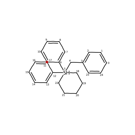 c1ccc(C[SH]2(c3ccccc3)(c3ccccc3)CCCCC2)cc1